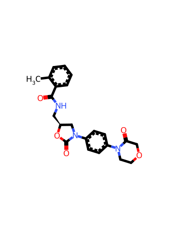 Cc1ccccc1C(=O)NC[C@H]1CN(c2ccc(N3CCOCC3=O)cc2)C(=O)O1